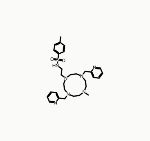 Cc1ccc(S(=O)(=O)NCCN2CCN(Cc3ccccn3)CCN(C)CCN(Cc3ccccn3)CC2)cc1